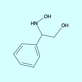 OCC(NO)c1ccccc1